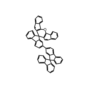 c1ccc2c(c1)-c1ccccc1C21c2ccccc2-c2ccc(-c3ccc4c(c3)C3(c5ccccc5-4)c4ccc5ccccc5c4Oc4c3ccc3ccccc43)cc21